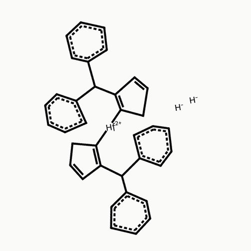 C1=CC(C(c2ccccc2)c2ccccc2)=[C]([Hf+2][C]2=C(C(c3ccccc3)c3ccccc3)C=CC2)C1.[H-].[H-]